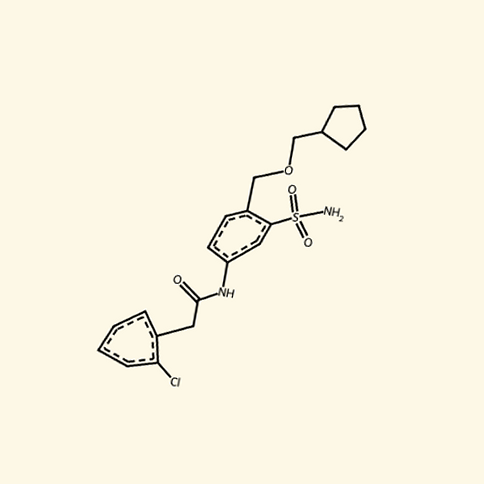 NS(=O)(=O)c1cc(NC(=O)Cc2ccccc2Cl)ccc1COCC1CCCC1